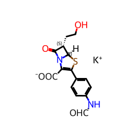 O=CNc1ccc(C2=C(C(=O)[O-])N3C(=O)[C@H](CCO)[C@H]3S2)cc1.[K+]